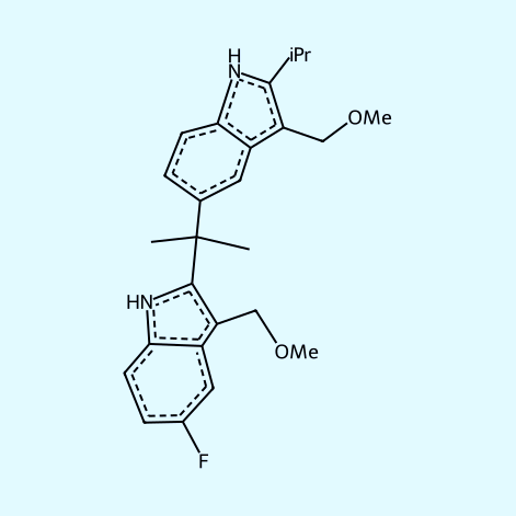 COCc1c(C(C)C)[nH]c2ccc(C(C)(C)c3[nH]c4ccc(F)cc4c3COC)cc12